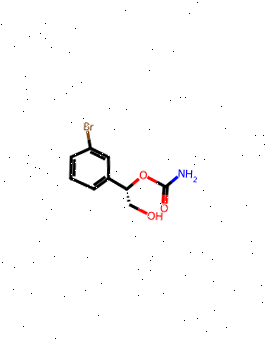 NC(=O)O[C@H](CO)c1cccc(Br)c1